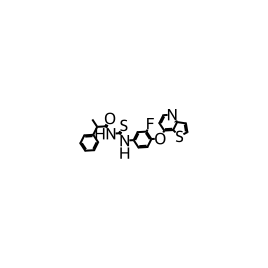 CC(C(=O)NC(=S)Nc1ccc(Oc2ccnc3ccsc23)c(F)c1)c1ccccc1